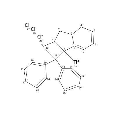 CC1CC2CC=CC=C2[C]1([Ti+3])C(C)(c1ccccc1)c1ccccc1.[Cl-].[Cl-].[Cl-]